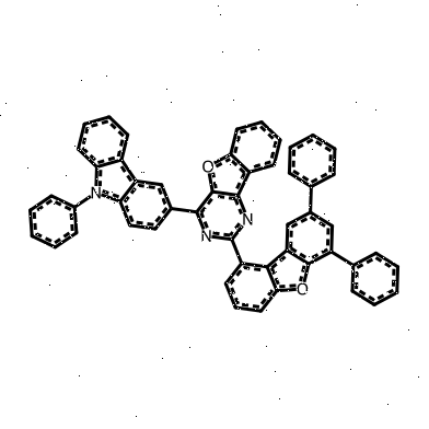 c1ccc(-c2cc(-c3ccccc3)c3oc4cccc(-c5nc(-c6ccc7c(c6)c6ccccc6n7-c6ccccc6)c6oc7ccccc7c6n5)c4c3c2)cc1